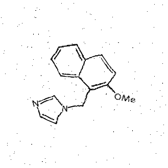 COc1ccc2ccccc2c1Cn1ccnc1